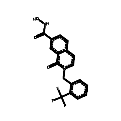 O=C(NO)c1ccc2ccn(Cc3ccccc3C(F)(F)F)c(=O)c2c1